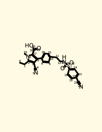 CCc1c(C#N)c(-c2ccc(CCNS(=O)(=O)c3ccc(C#N)cc3)cc2)c(C(=O)O)n1C